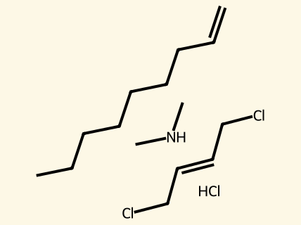 C=CCCCCCCC.CNC.Cl.ClCC=CCCl